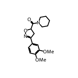 COc1ccc(C2=NOC(C(=O)N3CCCCC3)C2)cc1OC